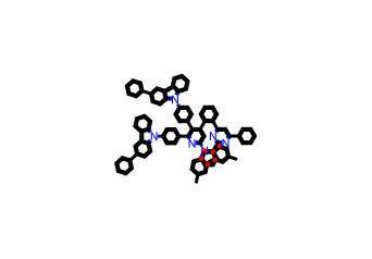 Cc1ccc2c(c1)c1cc(C)ccc1n2-c1cc(-c2ccccc2-c2cc(-c3ccccc3)nc(-c3ccccc3)n2)c(-c2ccc(-n3c4ccccc4c4cc(-c5ccccc5)ccc43)cc2)c(-c2ccc(-n3c4ccccc4c4cc(-c5ccccc5)ccc43)cc2)n1